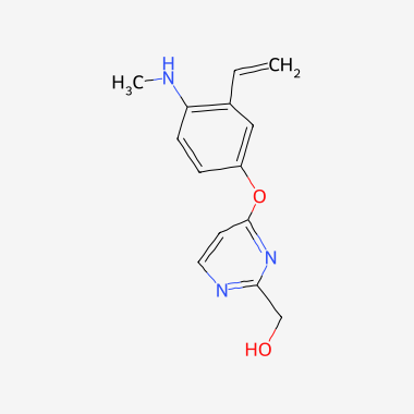 C=Cc1cc(Oc2ccnc(CO)n2)ccc1NC